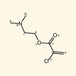 C=C(Cl)C(=O)OCCN(C)C